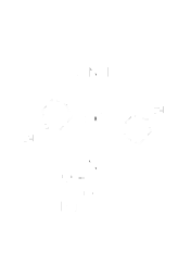 CC(C)(C)OC(=O)N1CC(c2ccc(Br)cc2Cl)C1.Clc1cc(Br)ccc1C1CNC1